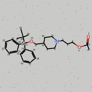 CC(=O)OCCCN1CCC(CO[Si](c2ccccc2)(c2ccccc2)C(C)(C)C)CC1